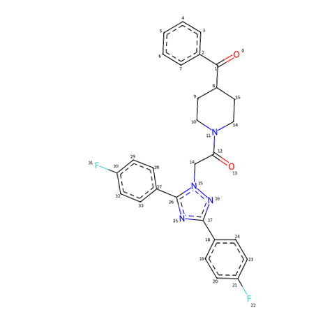 O=C(c1ccccc1)C1CCN(C(=O)Cn2nc(-c3ccc(F)cc3)nc2-c2ccc(F)cc2)CC1